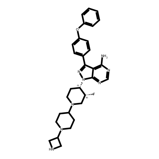 Nc1ncnc2c1c(-c1ccc(Oc3ccccc3)cc1)nn2[C@H]1CCN(C2CCN(C3CNC3)CC2)C[C@H]1F